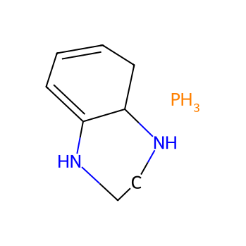 C1=CCC2NCCNC2=C1.P